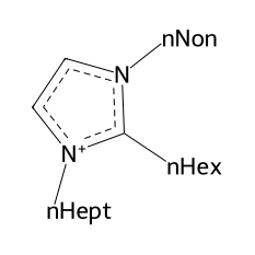 CCCCCCCCCn1cc[n+](CCCCCCC)c1CCCCCC